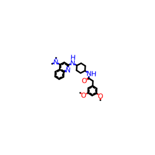 COc1cc(CC(=O)NC2CCC(Nc3cc(N(C)C)c4ccccc4n3)CC2)cc(OC)c1